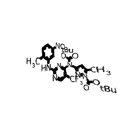 Cc1ccc([N+](=O)[O-])cc1Nc1ncc(C(F)(F)F)c(N(C(=O)OC(C)(C)C)c2cc(C)n(C(=O)OC(C)(C)C)n2)n1